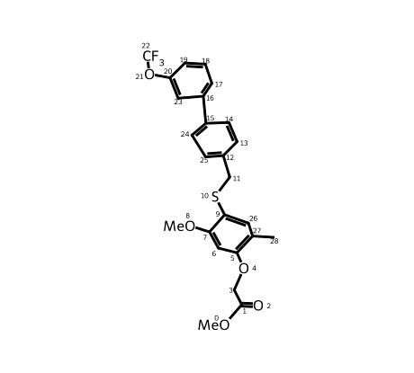 COC(=O)COc1cc(OC)c(SCc2ccc(-c3cccc(OC(F)(F)F)c3)cc2)cc1C